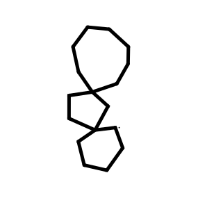 [CH]1CCCCC12CCC1(CCCCCCC1)C2